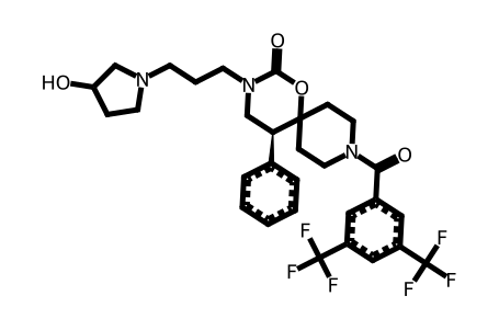 O=C1OC2(CCN(C(=O)c3cc(C(F)(F)F)cc(C(F)(F)F)c3)CC2)[C@@H](c2ccccc2)CN1CCCN1CCC(O)C1